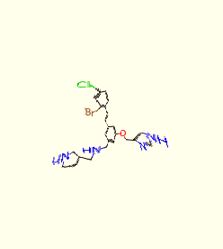 Clc1ccc(/C=C/c2cc(CNCC3CCNC3)cc(OCc3c[nH]cn3)c2)c(Br)c1